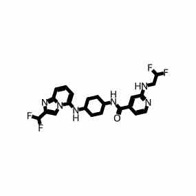 O=C(NC1CCC(Nc2cccc3nc(C(F)F)cn23)CC1)c1ccnc(NCC(F)F)c1